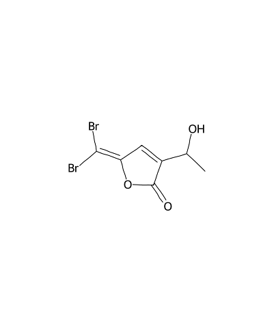 CC(O)C1=CC(=C(Br)Br)OC1=O